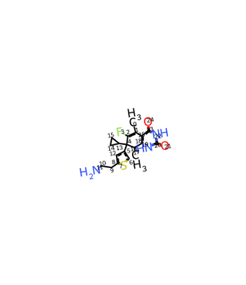 CC1=C(F)C(c2csc(CCN)c2)(C2CC2)C(C)c2[nH]c(=O)[nH]c(=O)c21